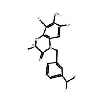 C[C@H]1Oc2c(cc(Br)c([N+](=O)[O-])c2F)N(Cc2cccc(C(F)F)c2)C1=O